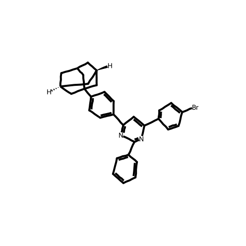 Brc1ccc(-c2cc(-c3ccc(C45CC6C[C@H](C4)C[C@H](C6)C5)cc3)nc(-c3ccccc3)n2)cc1